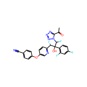 CC(=O)c1nnnn1C(F)C(O)(c1ccc(F)cc1F)C(F)c1ccc(Oc2ccc(C#N)cc2)cn1